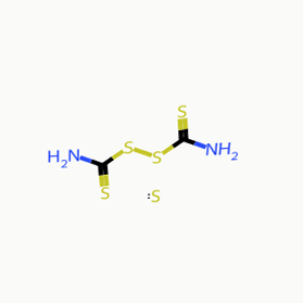 NC(=S)SSC(N)=S.[S]